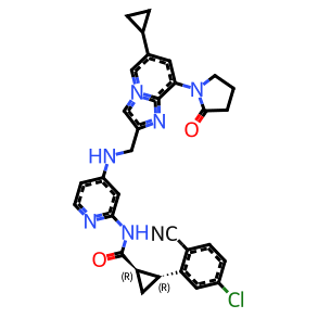 N#Cc1ccc(Cl)cc1[C@@H]1C[C@H]1C(=O)Nc1cc(NCc2cn3cc(C4CC4)cc(N4CCCC4=O)c3n2)ccn1